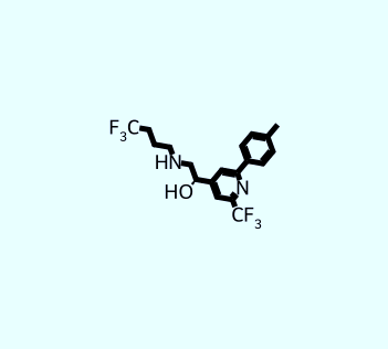 Cc1ccc(-c2cc([C@H](O)CNCCCC(F)(F)F)cc(C(F)(F)F)n2)cc1